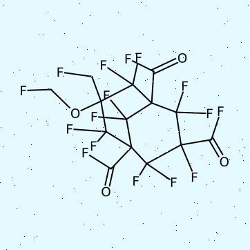 O=C(F)C1(F)C(F)(F)C2(C(=O)F)C(F)(F)C(CF)(OCF)C(F)(F)C(C(=O)F)(C1(F)F)C2(F)F